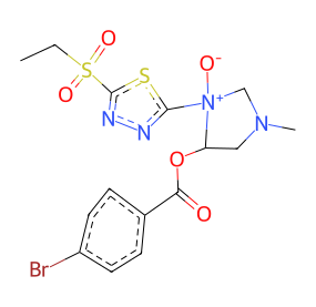 CCS(=O)(=O)c1nnc([N+]2([O-])CN(C)CC2OC(=O)c2ccc(Br)cc2)s1